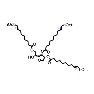 CCCCCCCC/C=C/CCCCCCCC(=O)O[C@H]1[C@@H]([C@H](O)COC(=O)CCCCCC/C=C/CCCCCCCC)OC[C@@H]1OC(=O)CCCCCCC/C=C/CCCCCCCC